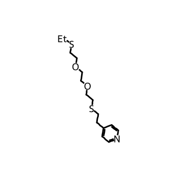 CCSCCOCCOCCSCCc1ccncc1